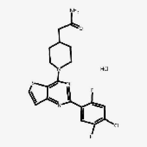 Cl.NC(=O)CC1CCN(c2nc(-c3cc(F)c(Cl)cc3F)nc3ccsc23)CC1